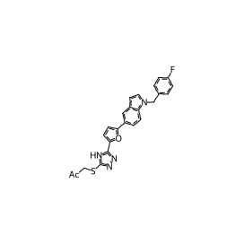 CC(=O)CSc1nnc(-c2ccc(-c3ccc4c(ccn4Cc4ccc(F)cc4)c3)o2)[nH]1